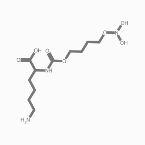 NCCCCC(NC(=O)OCCCCON(O)O)C(=O)O